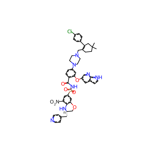 CC1(C)CCC(CN2CCN(c3ccc(C(=O)NS(=O)(=O)c4cc5c(c([N+](=O)[O-])c4)N[C@@H](Cc4ccncc4)CO5)c(Oc4cnc5[nH]ccc5c4)c3)CC2)=C(c2ccc(Cl)cc2)C1